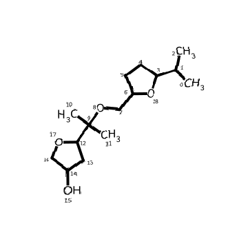 CC(C)C1CCC(COC(C)(C)C2CC(O)CO2)O1